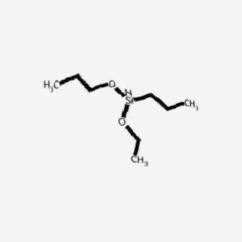 CCCO[SiH](CCC)OCC